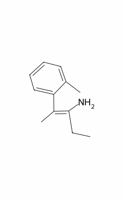 CCC(N)=C(C)c1ccccc1C